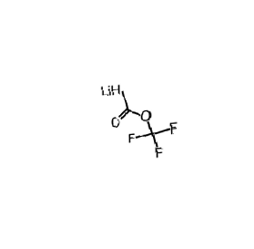 CC(=O)OC(F)(F)F.[LiH]